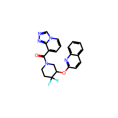 O=C(c1cccn2cnnc12)N1CCC(F)(F)C(Oc2ccc3ccccc3n2)C1